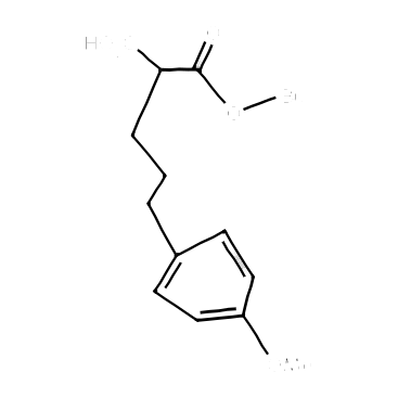 CCC(C)OC(=O)C(CCCc1ccc(OC)cc1)C(=O)O